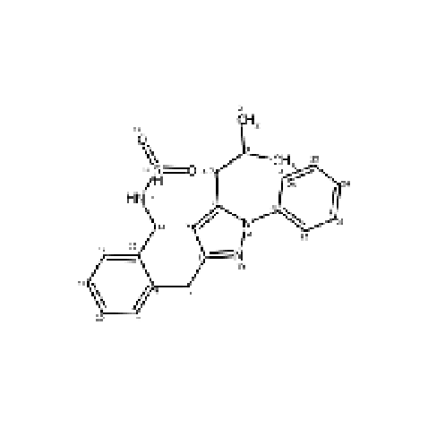 CC(C)Cc1cc(Cc2ccccc2CN[SH](=O)=O)nn1-c1ccccc1